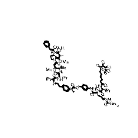 CC[C@H](C)[C@@H]([C@@H](CC(=O)N1CCC[C@H]1[C@H](OC)[C@@H](C)C(=O)N[C@@H](Cc1ccccc1)C(=O)O)OC)N(C)C(=O)[C@@H](NC(=O)[C@H](C(C)C)N(C)CCc1ccc(N(C)C(=O)OCc2ccc(NC(=O)[C@H](CCCNC(N)=O)NC(=O)[C@@H](NC(=O)CCCCCN3C(=O)C(Cl)=C(Cl)S3(=O)=O)C(C)C)cc2)cc1)C(C)C